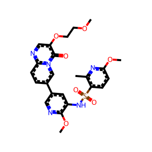 COCCOc1cnc2ccc(-c3cnc(OC)c(NS(=O)(=O)c4ccc(OC)nc4C)c3)cn2c1=O